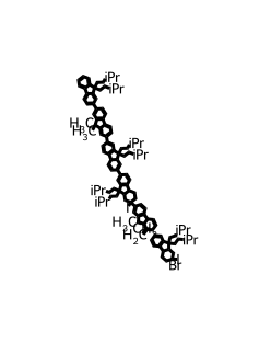 C=C1C2C(C=C[C@@H]1c1ccc3c(c1)C(CCC(C)C)(CCC(C)C)C1CC(Br)(I)CCC31)c1ccc(C3(I)CCC4c5ccc(C6=CC7C(C=C6)c6ccc(-c8ccc9c(c8)C(C)(C)c8cc(-c%10ccc%11c(c%10)C(CCC(C)C)(CCC(C)C)c%10ccccc%10-%11)ccc8-9)cc6C7(CCC(C)C)CCC(C)C)cc5C(CCC(C)C)(CCC(C)C)C4C3)cc1C2(C)C